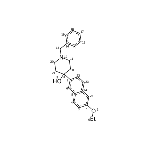 CCOc1ccc2cc(C3(O)CCN(Cc4ccccc4)CC3)ccc2c1